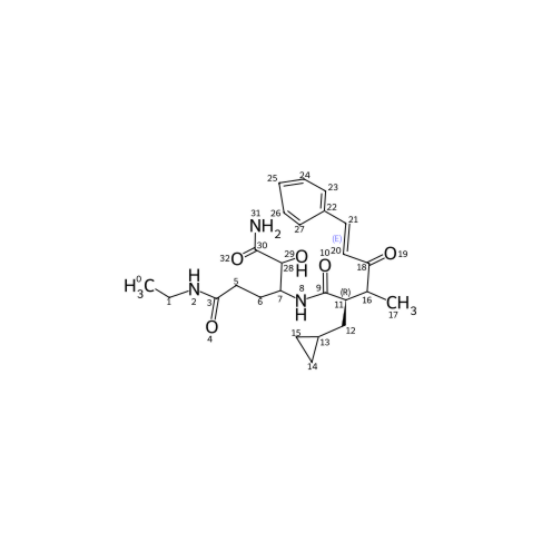 CCNC(=O)CCC(NC(=O)[C@H](CC1CC1)C(C)C(=O)/C=C/c1ccccc1)C(O)C(N)=O